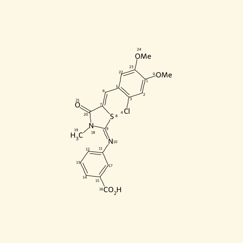 COc1cc(Cl)c(/C=C2\S/C(=N/c3cccc(C(=O)O)c3)N(C)C2=O)cc1OC